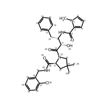 Cn1cccc1C(=O)N[C@@H](Cc1ccccc1)[C@H](O)C(=O)N1CC(F)(F)C[C@H]1C(=O)NCc1ccccc1Cl